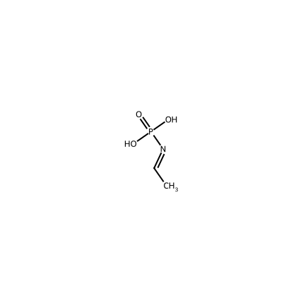 CC=NP(=O)(O)O